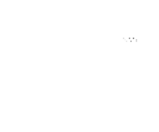 [CH2]C=CCCCSC